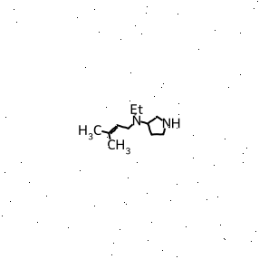 CCN(CC=C(C)C)C1CCNC1